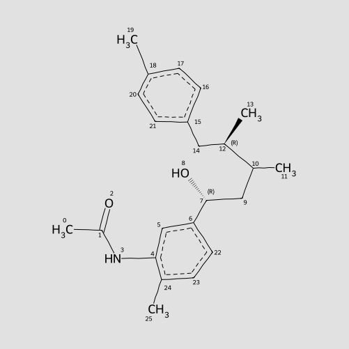 CC(=O)Nc1cc([C@H](O)CC(C)[C@H](C)Cc2ccc(C)cc2)ccc1C